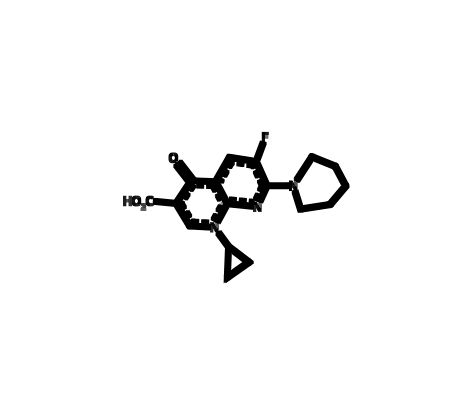 O=C(O)c1cn(C2CC2)c2nc(N3CCCCC3)c(F)cc2c1=O